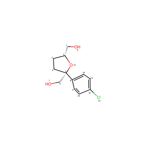 OC[C@H]1CC[C@](CO)(c2ccc(Cl)cc2)O1